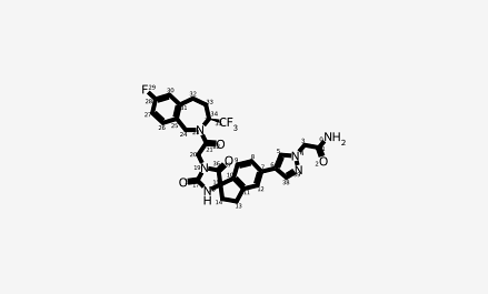 NC(=O)Cn1cc(-c2ccc3c(c2)CCC32NC(=O)N(CC(=O)N3Cc4ccc(F)cc4CC[C@H]3C(F)(F)F)C2=O)cn1